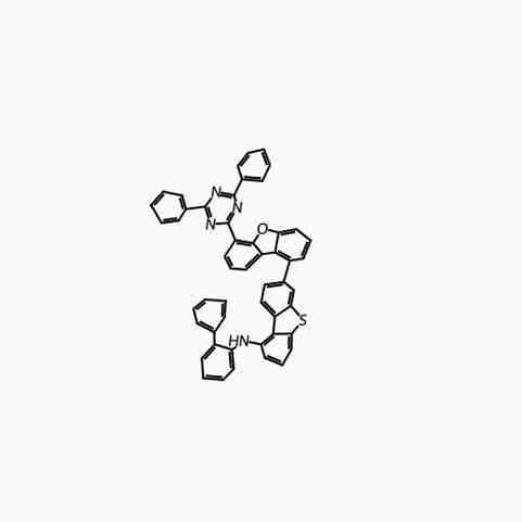 c1ccc(-c2nc(-c3ccccc3)nc(-c3cccc4c3oc3cccc(-c5ccc6c(c5)sc5cccc(Nc7ccccc7-c7ccccc7)c56)c34)n2)cc1